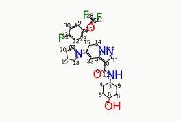 O=C(NC1CCC(O)CC1)c1cnn2ccc(N3CCC[C@@H]3c3cc(OC(F)F)ccc3F)cc12